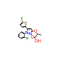 CC(Oc1cc(-c2ccc(F)s2)n(-c2ccccc2F)n1)C(=O)O